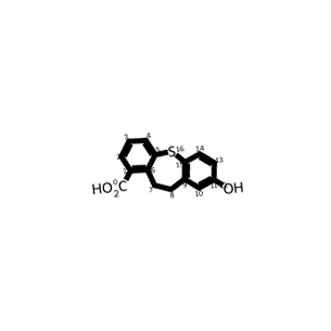 O=C(O)c1cccc2c1CCc1cc(O)ccc1S2